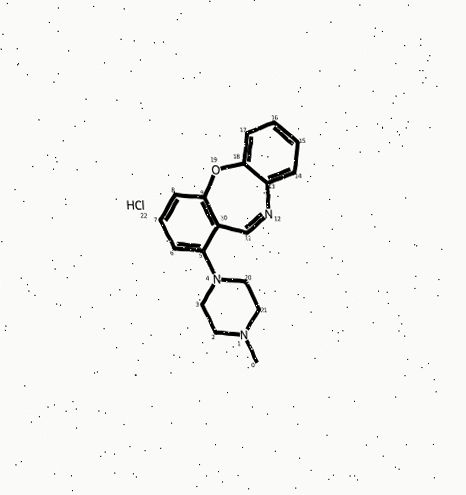 CN1CCN(c2cccc3c2C=Nc2ccccc2O3)CC1.Cl